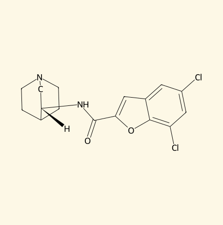 O=C(N[C@H]1CN2CCC1CC2)c1cc2cc(Cl)cc(Cl)c2o1